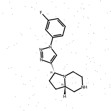 Fc1cccc(-n2cc([C@H]3CC[C@H]4CNCCN43)nn2)c1